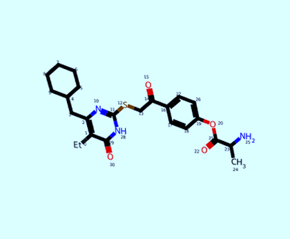 CCc1c(CC2CCCCC2)nc(SCC(=O)c2ccc(OC(=O)C(C)N)cc2)[nH]c1=O